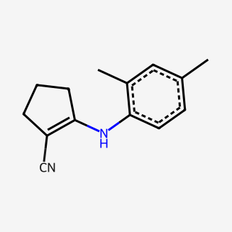 Cc1ccc(NC2=C(C#N)CCC2)c(C)c1